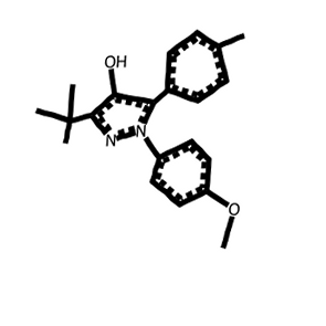 COc1ccc(-n2nc(C(C)(C)C)c(O)c2-c2ccc(C)cc2)cc1